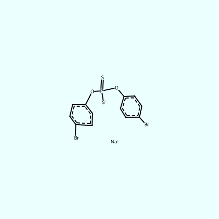 S=P([S-])(Oc1ccc(Br)cc1)Oc1ccc(Br)cc1.[Na+]